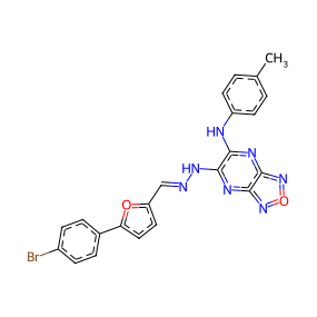 Cc1ccc(Nc2nc3nonc3nc2NN=Cc2ccc(-c3ccc(Br)cc3)o2)cc1